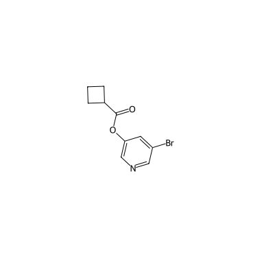 O=C(Oc1cncc(Br)c1)C1CCC1